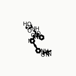 COC(=O)C(CO)NCCCS(=O)(=NC(=O)c1cncc(C#Cc2cccc(NC(=O)c3cc(C)nn3C)c2)c1)c1ccccc1